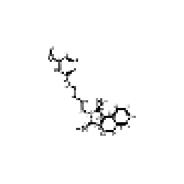 COc1cccc(OCCCCN2C(=N)c3ccc4ccccc4c3C2=N)c1